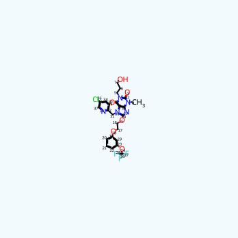 Cn1c(=O)n(CCCO)c(=O)c2c1nc(OCCOc1cccc(OC(F)(F)F)c1)n2Cc1ccc(Cl)cn1